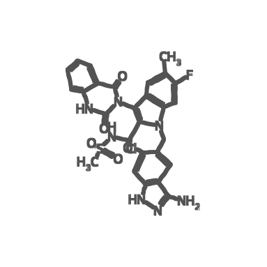 Cc1cc2c(-n3c(=O)[nH]c4ccccc4c3=O)c(C(=O)NS(C)(=O)=O)n(Cc3cc4c(N)n[nH]c4cc3Cl)c2cc1F